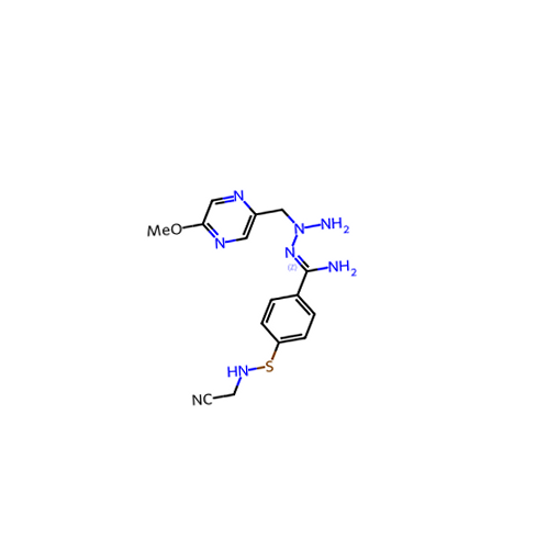 COc1cnc(CN(N)/N=C(\N)c2ccc(SNCC#N)cc2)cn1